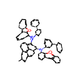 Cc1cc2ccc3c(N(c4cccc(-c5ccccc5)c4)c4cccc5c6c(oc45)C=CC=CC6)cc(N(c4cccc(-c5ccccc5)c4)c4cccc5c4oc4ccccc45)c4ccc(c1)c2c34